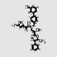 CC(OC(=O)[C@H](O)CN(Cc1ccc(-c2cccc(Cl)c2)cc1)NC(=O)c1cc(O)no1)C(=O)c1ccccc1